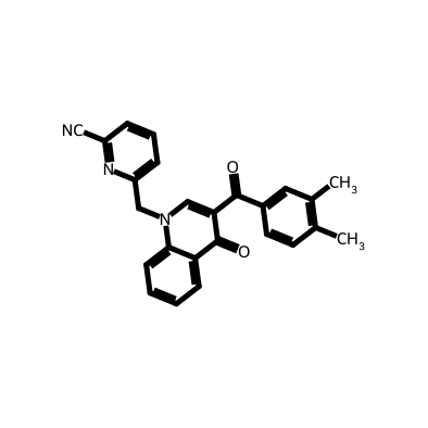 Cc1ccc(C(=O)c2cn(Cc3cccc(C#N)n3)c3ccccc3c2=O)cc1C